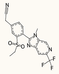 CCS(=O)(=O)c1cc(CC#N)ccc1-c1nc2cc(C(F)(F)F)ncc2n1C